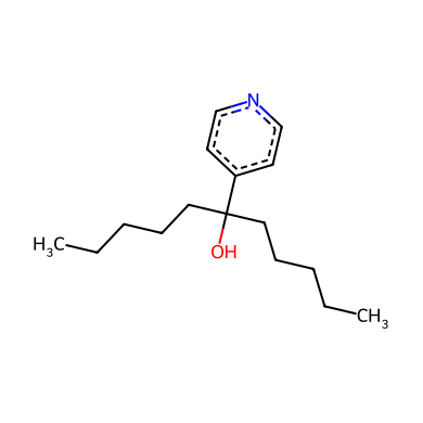 CCCCCC(O)(CCCCC)c1ccncc1